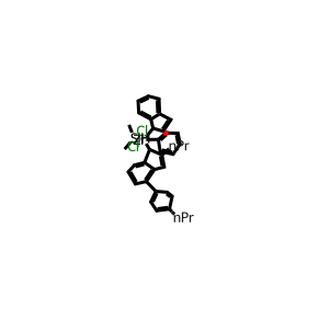 CCCC1=Cc2c(-c3ccc(CCC)cc3)cccc2[CH]1[Zr]([Cl])([Cl])([c]1ccccc1)([CH]1C=Cc2ccccc21)[SiH](C)C